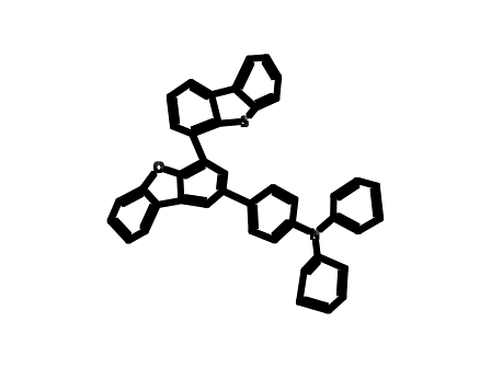 c1ccc(N(c2ccccc2)c2ccc(-c3cc(-c4cccc5c4sc4ccccc45)c4oc5ccccc5c4c3)cc2)cc1